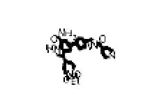 CCS(=O)(=O)N1CCC(c2c[nH]c3c(C(N)=O)cc(-c4ccc(CNC(=O)c5ccncc5)cc4)cc23)CC1